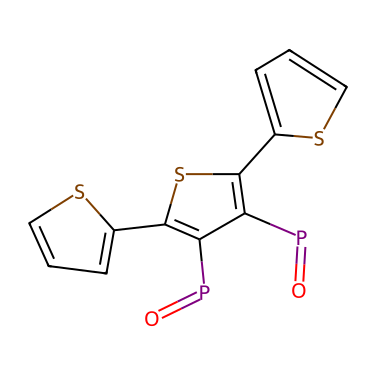 O=Pc1c(-c2cccs2)sc(-c2cccs2)c1P=O